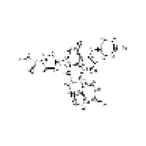 C=CC(=O)N1CCN(c2nc(=O)n3c4c(c(-c5ccc(F)c6cnn(C)c56)c(C)cc24)SCC3CN2CCN(C)CC2)CC1